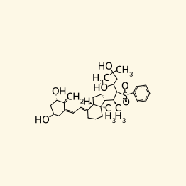 C=C1/C(=C\C=C2/CCC[C@]3(C)[C@@H]([C@H](C)C(C(O)CC(C)(C)O)S(=O)(=O)c4ccccc4)CC[C@@H]23)C[C@@H](O)C[C@@H]1O